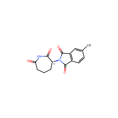 N#Cc1ccc2c(c1)C(=O)N([C@H]1CCCC(=O)NC1=O)C2=O